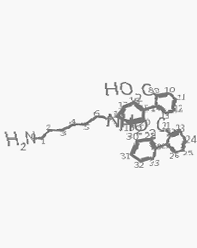 NCCCCCCN.O=C(O)c1ccccc1-c1ccccc1.O=C(O)c1ccccc1-c1ccccc1